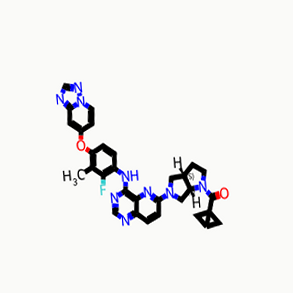 Cc1c(Oc2ccn3ncnc3c2)ccc(Nc2ncnc3ccc(N4C[C@@H]5CCN(C(=O)C67CC6C7)[C@@H]5C4)nc23)c1F